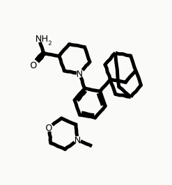 CN1CCOCC1.NC(=O)C1CCCN(c2ccccc2C23CC4CC(CC(C4)C2)C3)C1